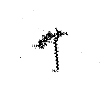 CCCCCCCCCCCCCCCCCCOC[C@H](COP(=O)(O)OC1[C@H]2O[C@@](C#N)(c3ccc4c(N)ncnn34)[C@H](O)[C@@]12O)Oc1c(C#N)cc(C)cc1C#N